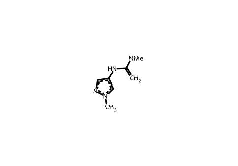 C=C(NC)Nc1cnn(C)c1